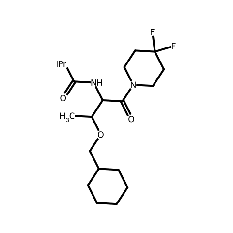 CC(C)C(=O)NC(C(=O)N1CCC(F)(F)CC1)C(C)OCC1CCCCC1